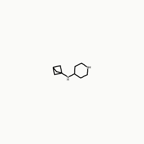 C1CC(NC23CC(C2)C3)CCN1